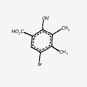 Cc1c(Br)cc(C(=O)O)c(O)c1C